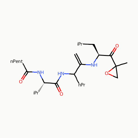 C=C(N[C@@H](CC(C)C)C(=O)C1(C)CO1)C(CCC)NC(=O)[C@@H](NC(=O)CCCCC)C(C)C